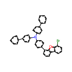 Brc1cccc2c1oc1c(-c3ccc(N(c4ccc(-c5ccccc5)cc4)c4ccc(-c5ccccc5)cc4)cc3)cccc12